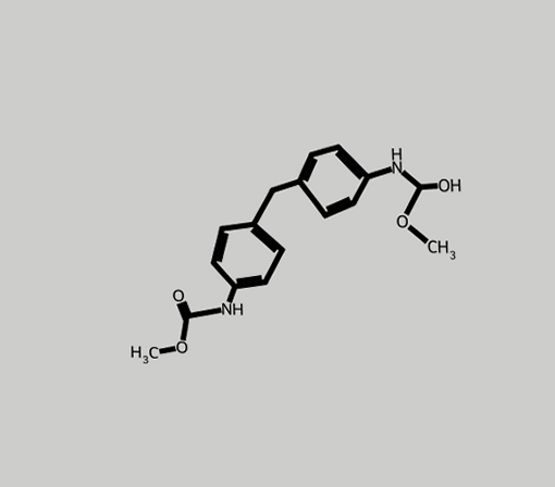 COC(=O)Nc1ccc(Cc2ccc(NC(O)OC)cc2)cc1